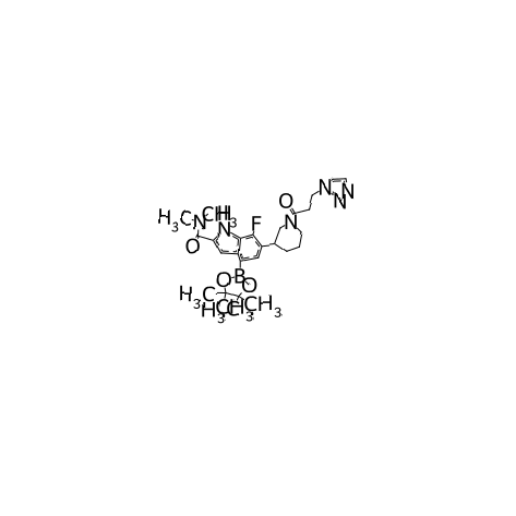 CN(C)C(=O)c1cc2c(B3OC(C)(C)C(C)(C)O3)cc(C3CCCN(C(=O)CCn4ccnn4)C3)c(F)c2[nH]1